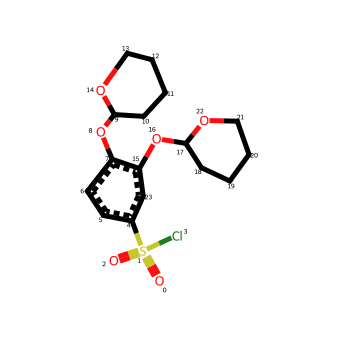 O=S(=O)(Cl)c1ccc(OC2CCCCO2)c(OC2CCCCO2)c1